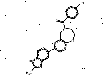 Cc1nc2cc(-c3ccc4c(c3)CN(C(=O)c3ccc(C#N)cc3)CCO4)ccc2[nH]1